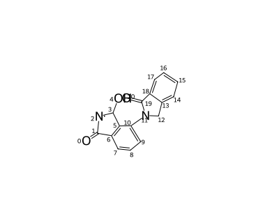 O=C1[N]C(O)c2c1cccc2N1Cc2ccccc2C1=O